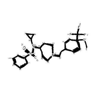 COC1(C(F)(F)F)C=CC(CN2CCC(N(C3CC3)S(=O)(=O)c3ccccc3)CC2)C=C1